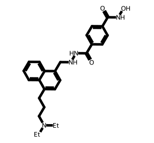 CCN(CC)CCCc1ccc(CNNC(=O)c2ccc(C(=O)NO)cc2)c2ccccc12